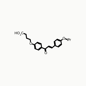 CC(C)Oc1ccc(/C=C/C(=O)c2ccc(OCCCC(=O)O)cc2)cc1